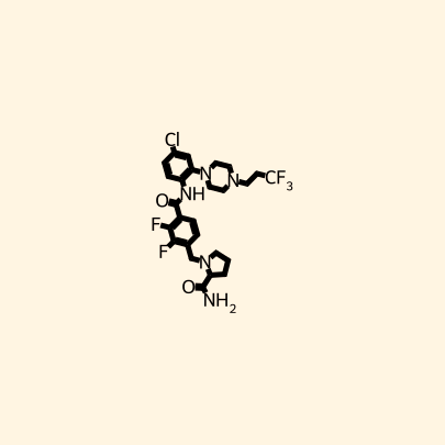 NC(=O)C1CCCN1Cc1ccc(C(=O)Nc2ccc(Cl)cc2N2CCN(CCC(F)(F)F)CC2)c(F)c1F